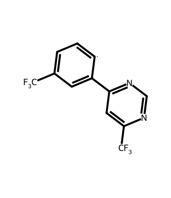 FC(F)(F)c1cc[c]c(-c2cc(C(F)(F)F)ncn2)c1